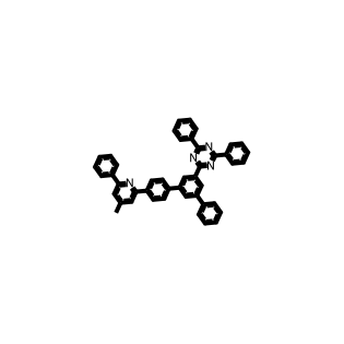 Cc1cc(-c2ccccc2)nc(-c2ccc(-c3cc(-c4ccccc4)cc(-c4nc(-c5ccccc5)nc(-c5ccccc5)n4)c3)cc2)c1